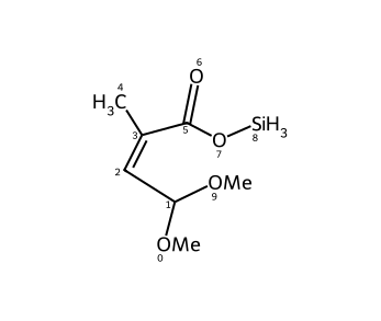 COC(C=C(C)C(=O)O[SiH3])OC